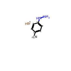 Br.N#Cc1ccc(NN)cc1